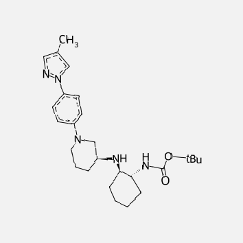 Cc1cnn(-c2ccc(N3CCC[C@H](N[C@@H]4CCCC[C@H]4NC(=O)OC(C)(C)C)C3)cc2)c1